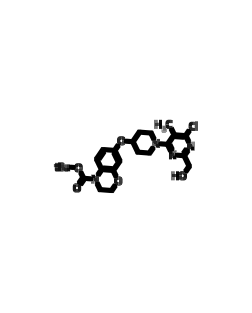 Cc1c(Cl)nc(CO)nc1N1CCC(Oc2ccc3c(c2)OCCN3C(=O)OC(C)(C)C)CC1